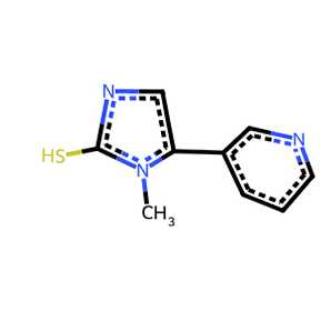 Cn1c(-c2cccnc2)cnc1S